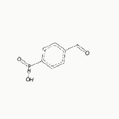 O=Cc1ccc([PH](=O)O)cc1